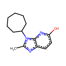 Cc1nc2ccc(O)nc2n1C1CCCCCC1